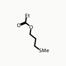 CCC(=O)OCCCSC